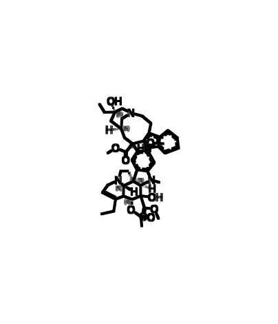 CCC1=CCN2CC[C@]34c5cc([C@@]6(C(=O)OC)C[C@@H]7CN(CCc8c6[nH]c6ccccc86)C[C@](O)(CC)C7)c(OC)cc5N(C)[C@H]3C(O)(C(=O)OC)[C@H](OC(C)=O)C1[C@H]24